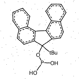 CC(C)(C)C1(OP(O)O)c2ccc3ccccc3c2-c2c1ccc1ccccc21